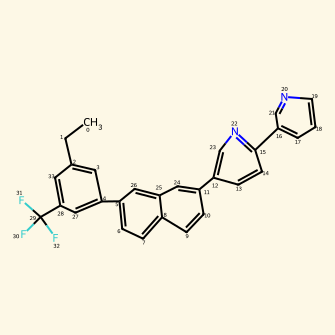 CCc1cc(-c2ccc3ccc(-c4ccc(-c5cccnc5)nc4)cc3c2)cc(C(F)(F)F)c1